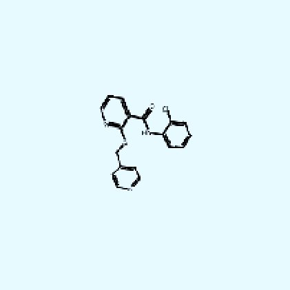 O=C(Nc1ccccc1Cl)c1cccnc1SCc1ccncc1